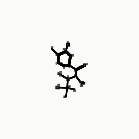 [2H]N(C(C(=O)c1ccc(C)c(Cl)c1)C(C)C)C(C)(C)CC